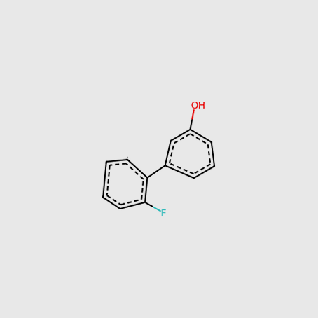 Oc1cccc(-c2[c]cccc2F)c1